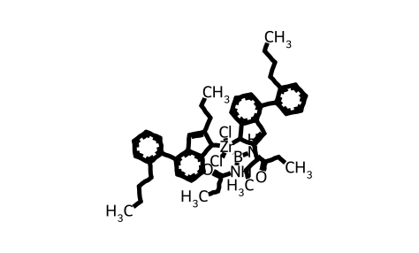 CCCCc1ccccc1-c1cccc2c1C=C(CCC)[CH]2[Zr]([Cl])([Cl])([B](NC(=O)CC)NC(=O)CC)[CH]1C(CCC)=Cc2c(-c3ccccc3CCCC)cccc21